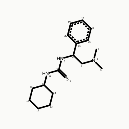 CN(C)CC(NC(=S)NC1CCCCC1)c1ccccc1